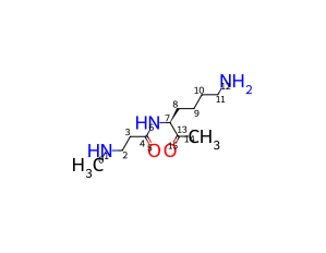 CNCCC(=O)N[C@@H](CCCCN)C(C)=O